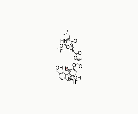 CC(C)C[C@H](NC(=O)OC(C)(C)C)C(=O)NCCC(=O)O[C@@H](C)C(=O)OC1=CC[C@@]2(O)[C@H]3Cc4ccc(CO)c5c4[C@@]2(CCN3C)[C@H]1O5